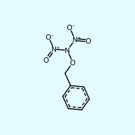 O=[N+]([O-])N(OCc1ccccc1)[N+](=O)[O-]